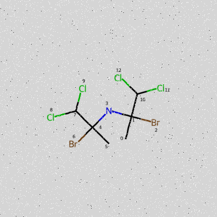 CC(Br)([N]C(C)(Br)C(Cl)Cl)C(Cl)Cl